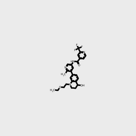 CCOCCN1CCC(O)c2ccc(-c3cc(NC(=O)c4ccnc(C(F)(F)F)c4)cnc3C)cc21